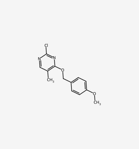 COc1ccc(COc2nc(Cl)ncc2C)cc1